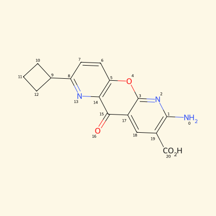 Nc1nc2oc3ccc(C4CCC4)nc3c(=O)c2cc1C(=O)O